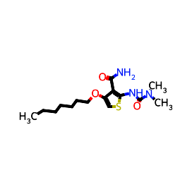 CCCCCCCOc1csc(NC(=O)N(C)C)c1C(N)=O